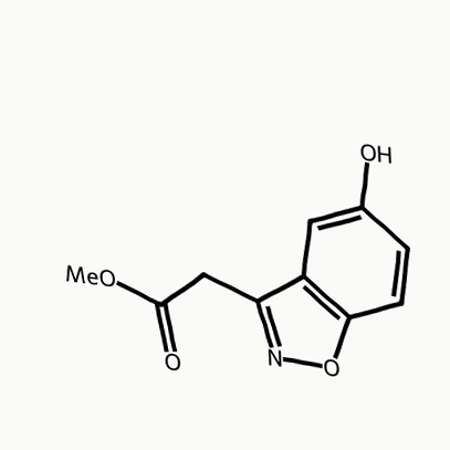 COC(=O)Cc1noc2ccc(O)cc12